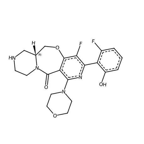 O=C1c2c(N3CCOCC3)nc(-c3c(O)cccc3F)c(F)c2OC[C@H]2CNCCN12